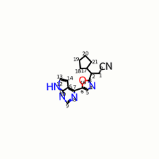 N#CCC(c1ncc(-c2ncnc3[nH]ccc23)o1)C1CCCC1